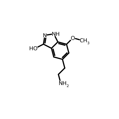 COc1cc(CCN)cc2c(O)n[nH]c12